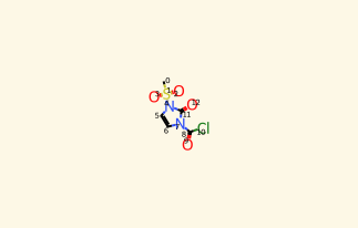 CS(=O)(=O)n1ccn(C(=O)Cl)c1=O